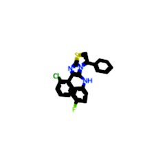 Fc1ccc(Nc2c(-c3ccccc3Cl)nc3scc(C4=CC=CCC4)n23)cc1